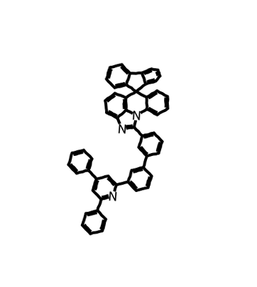 c1ccc(-c2cc(-c3ccccc3)nc(-c3cccc(-c4cccc(-c5nc6cccc7c6n5-c5ccccc5C75c6ccccc6-c6ccccc65)c4)c3)c2)cc1